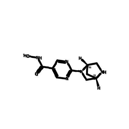 O=C(NO)c1cnc(N2C[C@@H]3C[C@H]2CN3)nc1